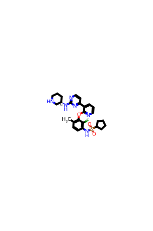 Cc1ccc(NS(=O)(=O)C2CCCC2)c(F)c1Oc1ncccc1-c1ccnc(N[C@H]2CCCNC2)n1